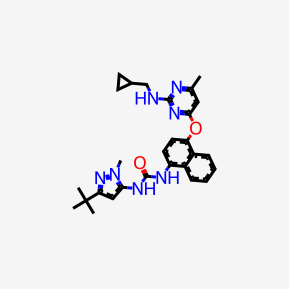 Cc1cc(Oc2ccc(NC(=O)Nc3cc(C(C)(C)C)nn3C)c3ccccc23)nc(NCC2CC2)n1